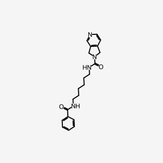 O=C(NCCCCCCNC(=O)N1Cc2ccncc2C1)c1ccccc1